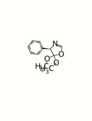 COC1(OC)OC=N[C@@H]1c1ccccc1